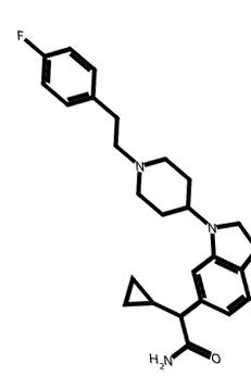 NC(=O)C(c1ccc2c(c1)N(C1CCN(CCc3ccc(F)cc3)CC1)CC2)C1CC1